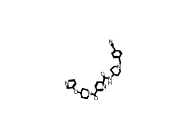 N#Cc1ccc(CN2CCC(NC(=O)c3ccc(C(=O)N4CCC(Oc5cccnc5)CC4)cn3)CC2)cc1